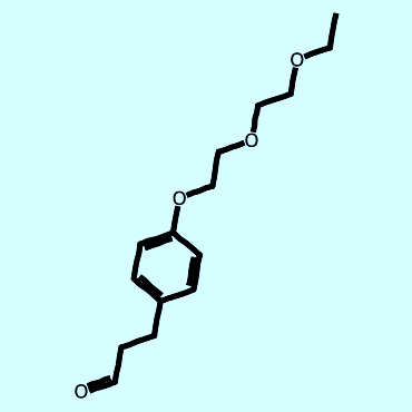 CCOCCOCCOc1ccc(CCC=O)cc1